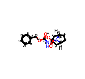 O=C(N[C@@H]1C[C@H]2CC[C@@H](C1)N2C(=O)O)OCc1ccccc1